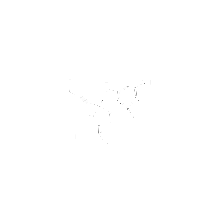 Cc1cc(N)nc(=O)n1[C@@H]1O[C@H]([C@@H](C)O)C(O)[C@]1(F)C#CCF